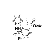 COC(=O)CCc1ccccc1.NC(=O)c1ccccc1F